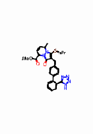 CCCSc1c(Cc2ccc(-c3ccccc3-c3nnn[nH]3)cc2)c(=O)n2n1C(C)C=CC2C(=O)OC